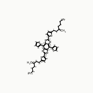 CC(C)CCCC(C)CCc1ccc(-c2nc3c(-c4cccs4)c4sc(-c5ccc(CCC(C)CCCC(C)C)s5)nc4c(-c4cccs4)c3s2)s1